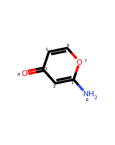 Nc1cc(=O)cco1